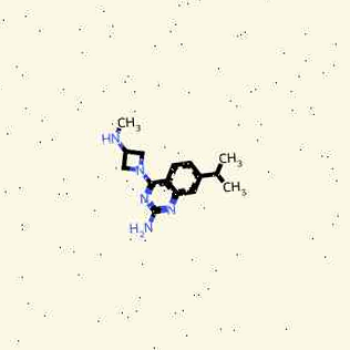 CNC1CN(c2nc(N)nc3cc(C(C)C)ccc23)C1